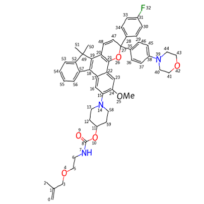 C=C(C)COCCNC(=O)OC1CCN(c2cc3c4c(c5c(c3cc2OC)OC(c2ccc(F)cc2)(c2ccc(N3CCOCC3)cc2)C=C5)C(C)(C)c2ccccc2-4)CC1